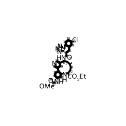 CCOC(=O)[C@H]1CCCC[C@H](NC(=O)/C=C/c2cc(Cl)ccc2-n2cnnn2)c2cncc(c2)-c2ccc(NC(=O)OC)cc2N1